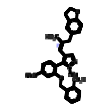 CCCCn1ncc(/C=C(\Cc2ccc3c(c2)CCO3)C(=O)O)c1-c1ccc(OC)cc1OCc1ccccc1C(=O)O